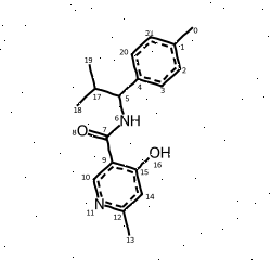 Cc1ccc(C(NC(=O)c2cnc(C)cc2O)C(C)C)cc1